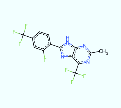 Cc1nc(C(F)(F)F)c2nc(-c3ccc(C(F)(F)F)cc3F)[nH]c2n1